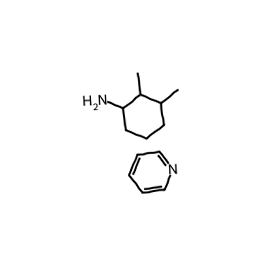 CC1CCCC(N)C1C.c1ccncc1